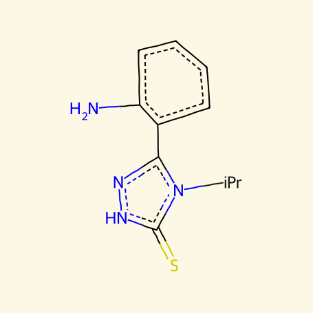 CC(C)n1c(-c2ccccc2N)n[nH]c1=S